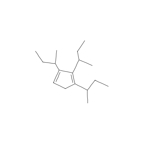 CCC(C)C1=CCC(C(C)CC)=C1C(C)CC